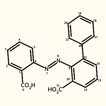 O=C(O)c1ccccc1N=Nc1c(C(=O)O)cccc1-c1ccccc1